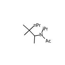 CCCC(C)(C)C(C)N(C(C)=O)C(C)C